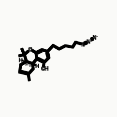 CC1=CC[C@@H]2[C@@H](C1)c1c(O)cc(CCCCCN=[N+]=[N-])cc1OC2(C)C